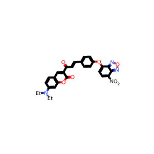 CCN(CC)c1ccc2cc(C(=O)/C=C/c3ccc(Oc4ccc([N+](=O)[O-])c5nonc45)cc3)c(=O)oc2c1